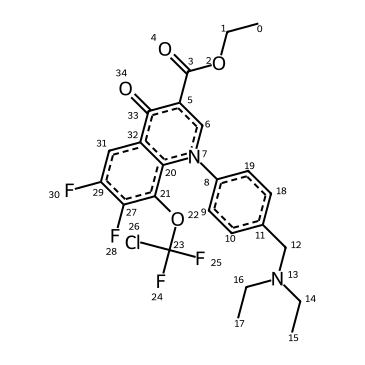 CCOC(=O)c1cn(-c2ccc(CN(CC)CC)cc2)c2c(OC(F)(F)Cl)c(F)c(F)cc2c1=O